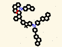 CC1(C)c2ccc(-c3cc4cc(N(c5ccc6c(ccc7ccccc76)c5)c5cccc6ccc7ccccc7c56)ccc4c4ccccc34)cc2-c2ccc(N(c3ccc(-c4ccc5c(ccc6ccccc65)c4)cc3)c3ccc(-c4ccc5c(ccc6ccccc65)c4)cc3)cc21